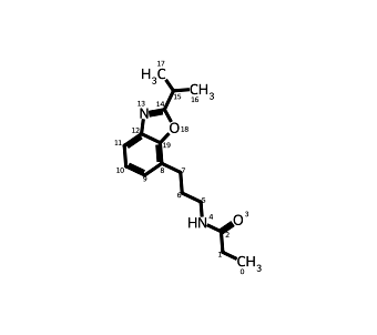 CCC(=O)NCCCc1cccc2nc(C(C)C)oc12